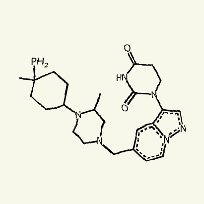 CC1CN(Cc2ccn3ncc(N4CCC(=O)NC4=O)c3c2)CCN1C1CCC(C)(P)CC1